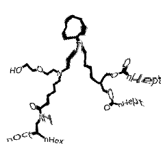 CCCCCCCCC(CCCCCC)CNC(=O)CCCCCN(CCOCCO)CCN(CCCCC(COC(=O)CCCCCCC)COC(=O)CCCCCCC)C1CCCCCCC1